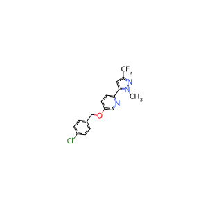 Cn1nc(C(F)(F)F)cc1-c1ccc(OCc2ccc(Cl)cc2)cn1